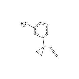 C=CC1(c2cccc(C(F)(F)F)c2)CC1